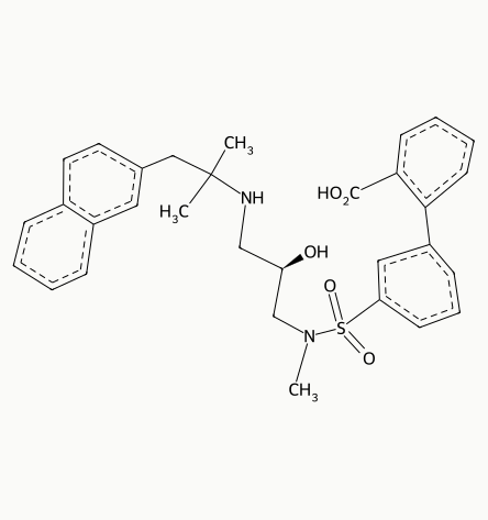 CN(C[C@H](O)CNC(C)(C)Cc1ccc2ccccc2c1)S(=O)(=O)c1cccc(-c2ccccc2C(=O)O)c1